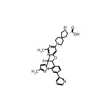 Cc1ccn(-c2cc(-c3cccnc3)ccc2C(Oc2cc(N3CCC4(CC3)CN[C@H](C(=O)O)C4)nc(C)n2)C(F)(F)F)n1